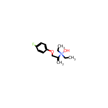 C=C(COc1ccc(F)cc1)[N+](O)(CC)CC